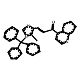 Cc1c(C=CC(=O)c2ccnc3ccccc23)ncn1C(c1ccccc1)(c1ccccc1)c1ccccc1